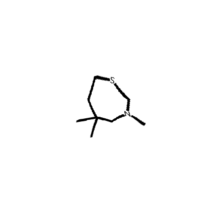 CN1CSCCC(C)(C)C1